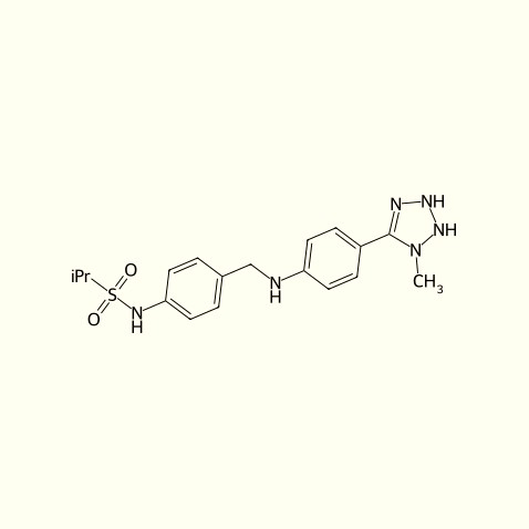 CC(C)S(=O)(=O)Nc1ccc(CNc2ccc(C3=NNNN3C)cc2)cc1